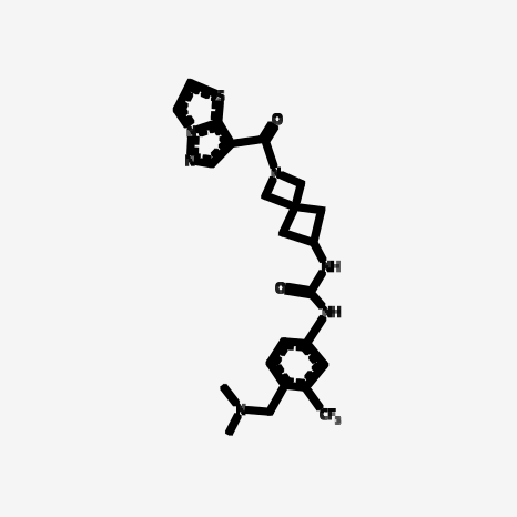 CN(C)Cc1ccc(NC(=O)NC2CC3(C2)CN(C(=O)c2cnn4ccsc24)C3)cc1C(F)(F)F